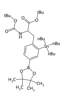 CCC[CH2][Sn]([CH2]CCC)([CH2]CCC)[c]1cc(B2OC(C)(C)C(C)(C)O2)ccc1CC(NC(=O)OC(C)(C)C)C(=O)OC(C)(C)C